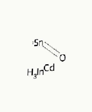 [Cd].[InH3].[O]=[Sn]